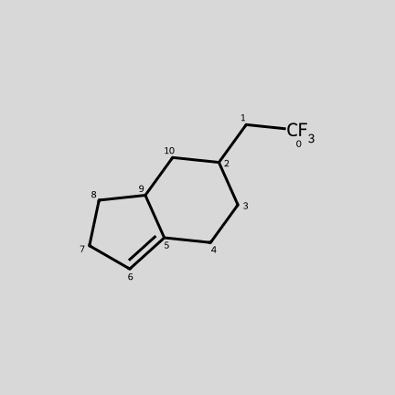 FC(F)(F)CC1CCC2=CCCC2C1